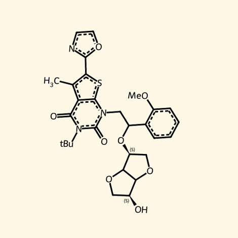 COc1ccccc1C(Cn1c(=O)n(C(C)(C)C)c(=O)c2c(C)c(-c3ncco3)sc21)O[C@H]1COC2C1OC[C@@H]2O